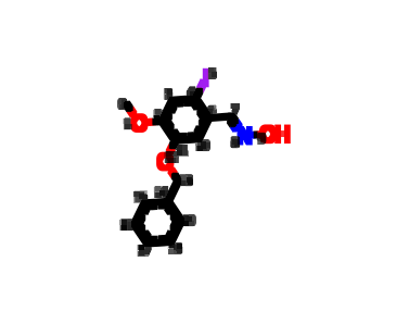 COc1cc(I)c(/C=N/O)cc1OCc1ccccc1